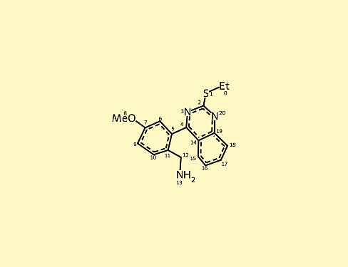 CCSc1nc(-c2cc(OC)ccc2CN)c2ccccc2n1